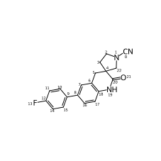 N#CN1CCC2(Cc3cc(-c4ccc(F)cc4)ccc3NC2=O)C1